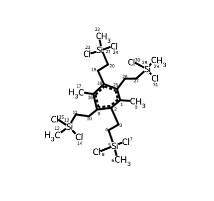 Cc1c(CC[Si](C)(Cl)Cl)c(CC[Si](C)(Cl)Cl)c(C)c(CC[Si](C)(Cl)Cl)c1CC[Si](C)(Cl)Cl